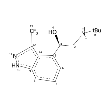 CC(C)(C)NC[C@H](O)c1cccc2[nH]nc(C(F)(F)F)c12